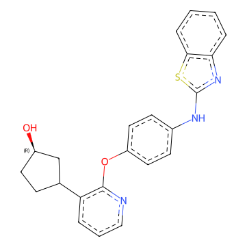 O[C@@H]1CCC(c2cccnc2Oc2ccc(Nc3nc4ccccc4s3)cc2)C1